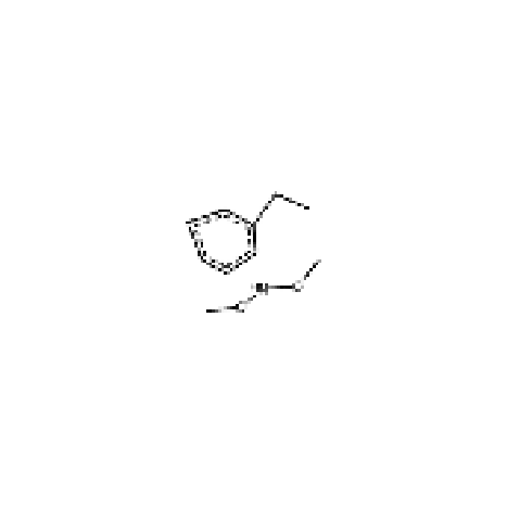 CCc1ccccc1.CONOC